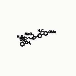 COCC1[C@@H](c2ccc(-c3ccc(OC)cc3C)cc2)CN1CCCCN(C)S(=O)(=O)c1ccccc1C